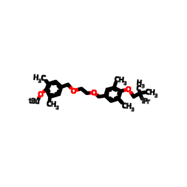 Cc1cc(COCCOCc2cc(C)c(OC(C)(C)C)c(C)c2)cc(C)c1OCC(C)(C)C(C)C